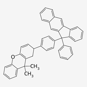 CC1(C)C2=C(C=CC(c3ccc(C4(c5ccccc5)c5ccccc5-c5cc6ccccc6cc54)cc3)C2)Oc2ccccc21